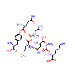 CSCC[C@H](N)C(=O)OC(=O)[C@@H](N)CC(N)=O.NC(=O)CC[C@H](N)C(=O)Oc1ccc(C[C@H](N)C(=O)O)cc1.NC(=O)C[C@H](N)C(=O)O.NCC(=O)O.NCCCC[C@H](N)C(=O)O